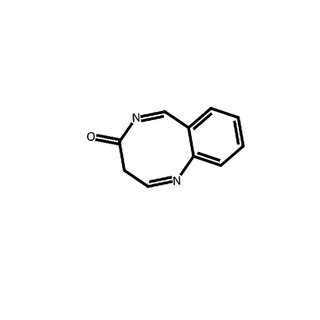 O=C1CC=Nc2ccccc2C=N1